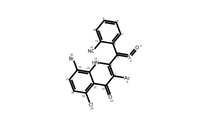 CC(=O)c1c(C(=S=O)c2ccccc2C#N)[nH]c2c(Br)ccc(Cl)c2c1=O